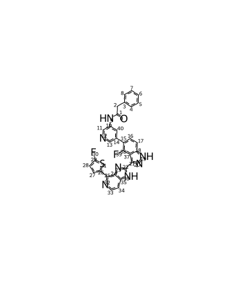 O=C(Cc1ccccc1)Nc1cncc(-c2ccc3[nH]nc(-c4nc5c(-c6ccc(F)s6)nccc5[nH]4)c3c2F)c1